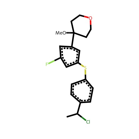 COC1(c2cc(F)cc(Sc3ccc(C(C)Cl)cc3)c2)CCOCC1